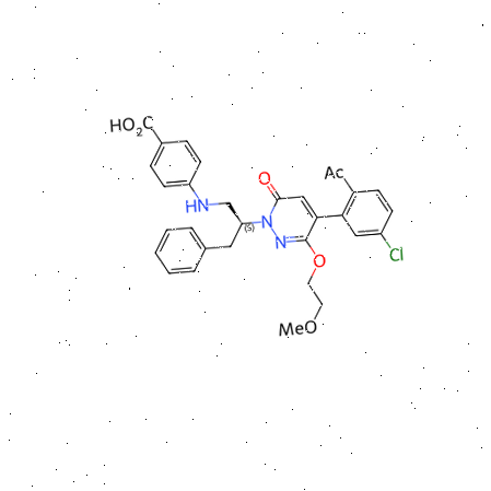 COCCOc1nn([C@H](CNc2ccc(C(=O)O)cc2)Cc2ccccc2)c(=O)cc1-c1cc(Cl)ccc1C(C)=O